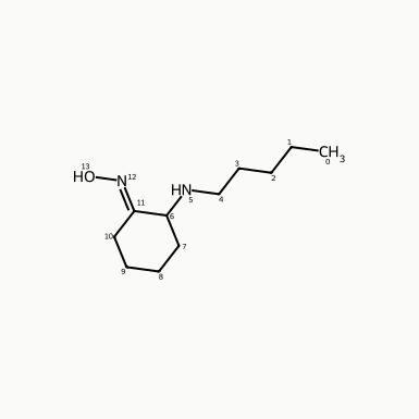 CCCCCNC1CCCCC1=NO